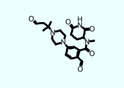 CN(C(=O)c1cc(N2CCN(C(C)(C)CC=O)CC2)ccc1C=O)C1CCC(=O)NC1=O